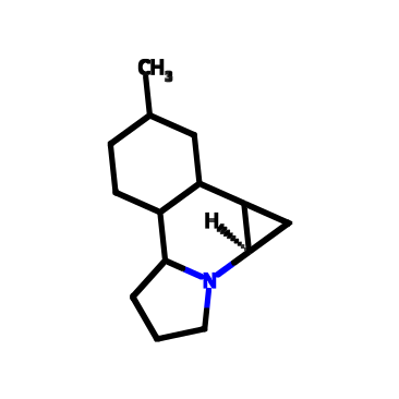 CC1CCC2C(C1)C1C[C@H]1N1CCCC21